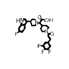 O=C(O)C(C1CCN(C(=O)C=Cc2cc(F)c(F)c(F)c2)CC1)N1CCC(c2c[nH]c3cc(F)ccc23)CC1